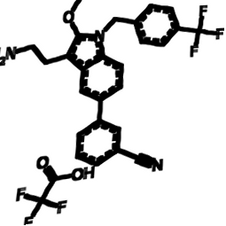 COc1c(CCN)c2cc(-c3cccc(C#N)c3)ccc2n1Cc1ccc(C(F)(F)F)cc1.O=C(O)C(F)(F)F